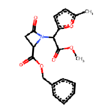 COC(=O)C(c1ccc(C)o1)N1C(=O)CC1C(=O)OCc1ccccc1